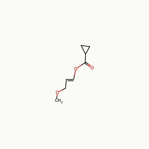 COCC=COC(=O)C1CC1